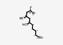 C[C@@H](Br)CC(C#N)CC(O)CCCCC(C)(C)C